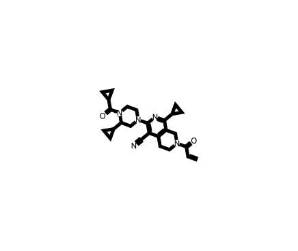 C=CC(=O)N1CCc2c(C#N)c(N3CCN(C(=O)C4CC4)C(C4CC4)C3)nc(C3CC3)c2C1